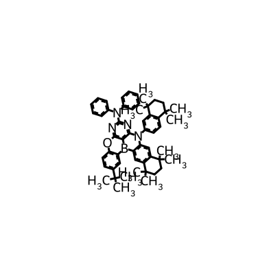 CC(C)(C)c1ccc2c(c1)B1c3cc4c(cc3N(c3ccc5c(c3)C(C)(C)CCC5(C)C)c3nc(N(c5ccccc5)c5ccccc5)nc(c31)O2)C(C)(C)CCC4(C)C